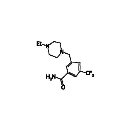 CCN1CCN(Cc2cc(C(N)=O)cc(C(F)(F)F)c2)CC1